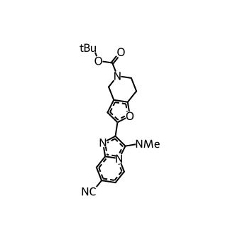 CNc1c(-c2cc3c(o2)CCN(C(=O)OC(C)(C)C)C3)nc2cc(C#N)ccn12